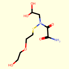 NC(=O)C(=O)N(CC(O)O)SCCOCCO